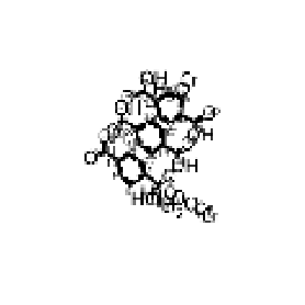 O.O.O.O.O=C(O)c1ccc(C(=O)O)cc1.O=C(O)c1ccc(C(=O)O)cc1.O=C(O)c1ccc(C(=O)O)cc1.[Cr].[Cr].[Cr]